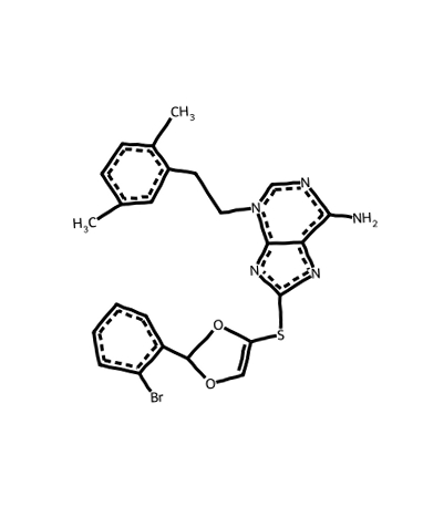 Cc1ccc(C)c(CCn2cnc(N)c3nc(SC4=COC(c5ccccc5Br)O4)nc2-3)c1